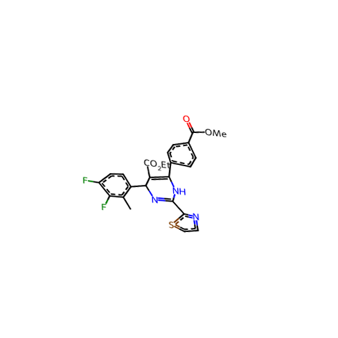 CCOC(=O)C1=C(c2ccc(C(=O)OC)cc2)NC(c2nccs2)=NC1c1ccc(F)c(F)c1C